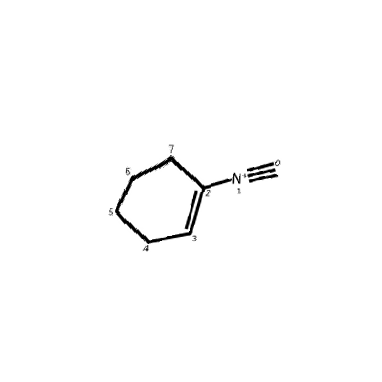 C#[N+]C1=CCCCC1